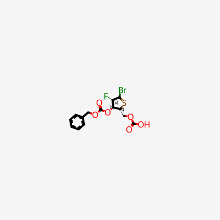 O=C(O)OC[C@H]1SC(Br)[C@@H](F)[C@@H]1OC(=O)OCc1ccccc1